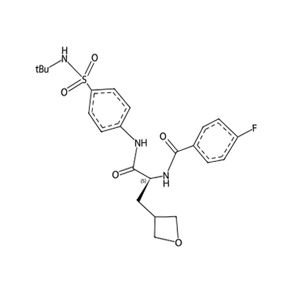 CC(C)(C)NS(=O)(=O)c1ccc(NC(=O)[C@H](CC2COC2)NC(=O)c2ccc(F)cc2)cc1